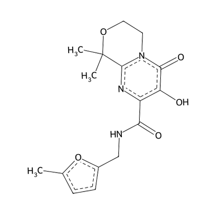 Cc1ccc(CNC(=O)c2nc3n(c(=O)c2O)CCOC3(C)C)o1